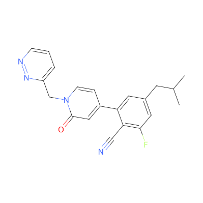 CC(C)Cc1cc(F)c(C#N)c(-c2ccn(Cc3cccnn3)c(=O)c2)c1